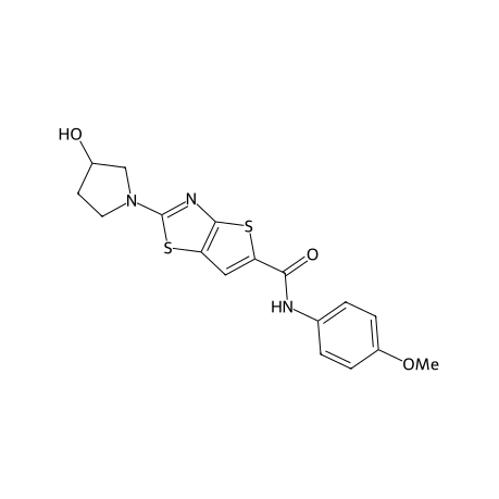 COc1ccc(NC(=O)c2cc3sc(N4CCC(O)C4)nc3s2)cc1